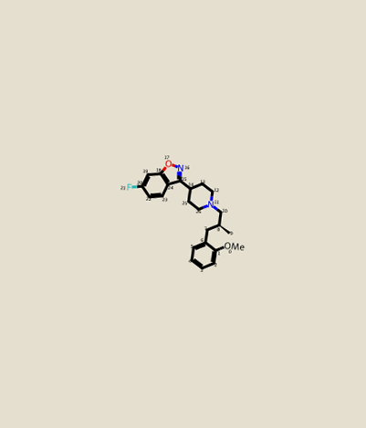 COc1ccccc1C[C@H](C)CN1CCC(c2noc3cc(F)ccc23)CC1